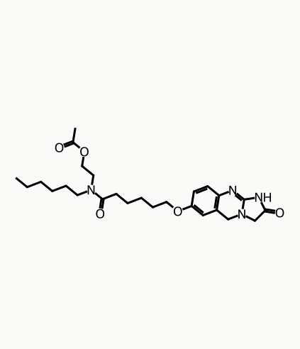 CCCCCCN(CCOC(C)=O)C(=O)CCCCCOc1ccc2c(c1)CN1CC(=O)NC1=N2